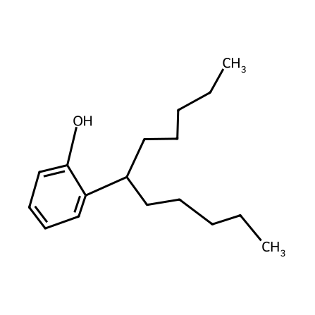 CCCCCC(CCCCC)c1ccccc1O